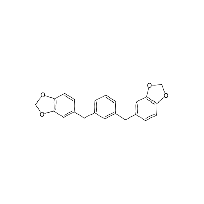 c1cc(Cc2ccc3c(c2)OCO3)cc(Cc2ccc3c(c2)OCO3)c1